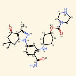 CC1(C)CC(=O)c2c(C(F)(F)F)nn(-c3ccc(C(N)=O)c(N[C@H]4CC[C@H](OC(=O)N5CCNCC5)CC4)c3)c2C1